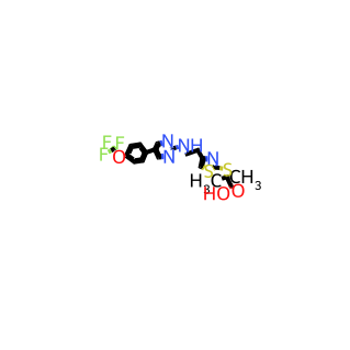 CC(C)(Sc1nc(CCNc2ncc(-c3ccc(OC(F)(F)F)cc3)cn2)cs1)C(=O)O